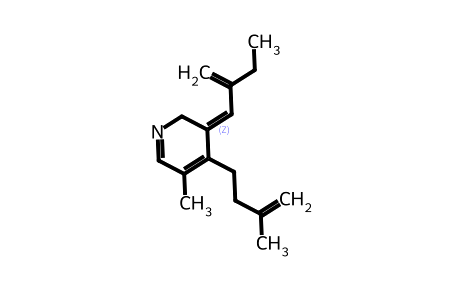 C=C(C)CCC1=C(C)C=NC/C1=C\C(=C)CC